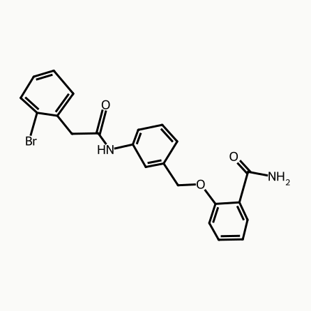 NC(=O)c1ccccc1OCc1cccc(NC(=O)Cc2ccccc2Br)c1